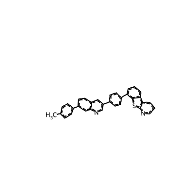 Cc1ccc(-c2ccc3cc(-c4ccc(-c5cccc6c5sc5ncccc56)cc4)cnc3c2)cc1